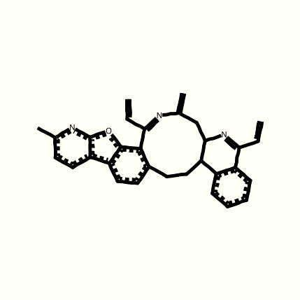 C=CC1=NC2CC(=C)/N=C(/C=C)c3c(ccc4c3oc3nc(C)ccc34)CCC2c2ccccc21